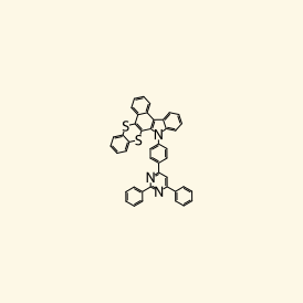 c1ccc(-c2cc(-c3ccc(-n4c5ccccc5c5c6ccccc6c6c(c54)Sc4ccccc4S6)cc3)nc(-c3ccccc3)n2)cc1